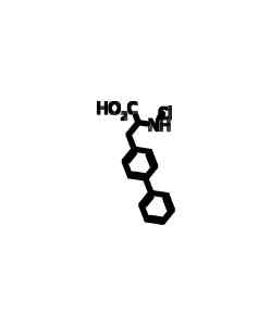 O=C(O)C(Cc1ccc(-c2ccccc2)cc1)NCl